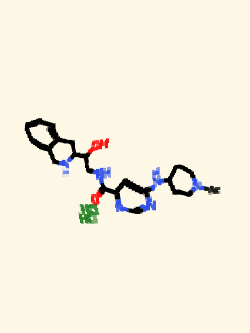 CC(=O)N1CCC(Nc2cc(C(=O)NCC(O)C3Cc4ccccc4CN3)ncn2)CC1.Cl.Cl